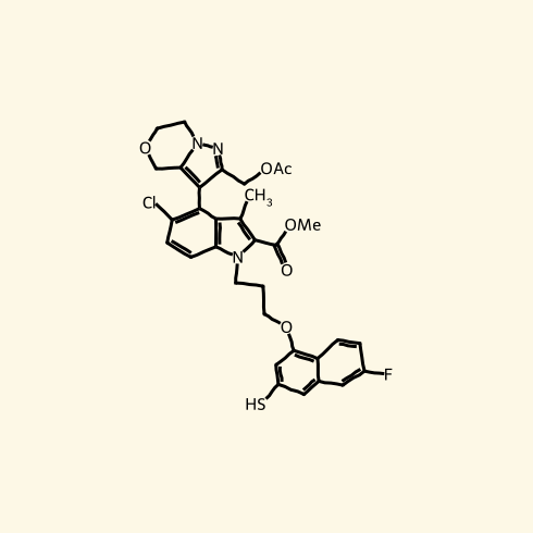 COC(=O)c1c(C)c2c(-c3c(COC(C)=O)nn4c3COCC4)c(Cl)ccc2n1CCCOc1cc(S)cc2cc(F)ccc12